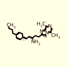 CCCCC1=CC/C(=C\C=C(/N)CCc2nc3c(C)ncc(C)n3n2)C=C1